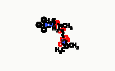 CC(OCCC(C)(C)OC(=O)CCC(=O)ON1C(=O)C2C(C)CC(C)C2C1=O)C(=O)N1CCN(C(c2ccccc2)(c2ccccc2)c2ccccc2)CC1